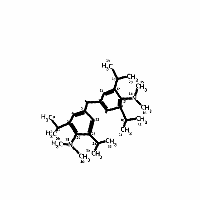 CC(C)c1cc(Cc2cc(C(C)C)c(N(C)C)c(C(C)C)c2)cc(C(C)C)c1N(C)C